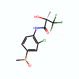 C[S+]([O-])c1ccc(NC(=O)[C@@](C)(O)C(F)(F)F)c(Cl)c1